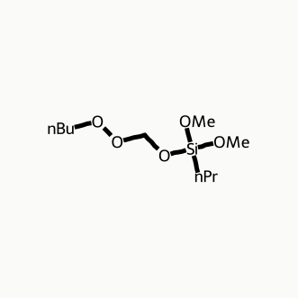 CCCCOOCO[Si](CCC)(OC)OC